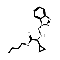 CCCCOC(=O)[C@@H](NSn1nnc2ccccc21)C1CC1